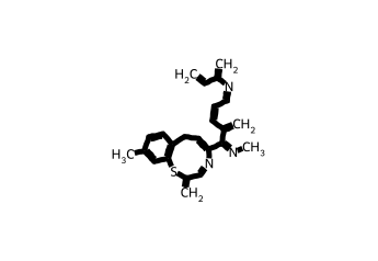 C=CC(=C)/N=C\C=C/C(=C)C(=N\C)/C1=C/Cc2ccc(C)cc2SC(=C)/C=N\1